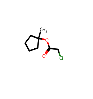 CC1(OC(=O)CCl)CCCC1